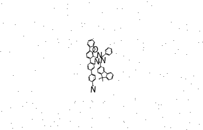 CC1(C)c2ccccc2-c2cc(-c3nc(-c4ccccc4)nc(-c4c(-c5ccc(-c6ccc(C#N)cc6)cc5)ccc5c4oc4ccccc45)n3)ccc21